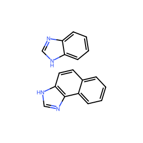 c1ccc2[nH]cnc2c1.c1ccc2c(c1)ccc1[nH]cnc12